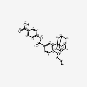 C=CCOc1ccc(C(=O)Oc2ccc(C(=O)O)cc2)cc1C12CC3CC(CC(C3)C1)C2